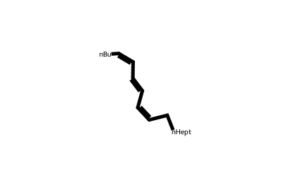 [CH2]CCCCCCC\C=C/C=C/C=C\CCCC